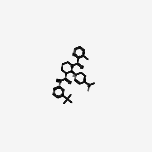 Cc1cccnc1C(=O)N1CCCC(C(=O)Nc2cccc(C(C)(C)C)c2)C1[C@@H]1C=CC(N(C)C)=CC1